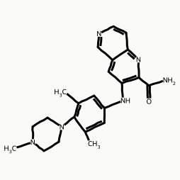 Cc1cc(Nc2cc3cnccc3nc2C(N)=O)cc(C)c1N1CCN(C)CC1